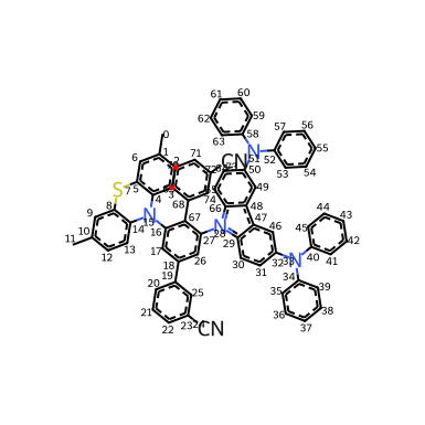 Cc1ccc2c(c1)Sc1cc(C)ccc1N2c1cc(-c2cccc(C#N)c2)cc(-n2c3ccc(N(c4ccccc4)c4ccccc4)cc3c3cc(N(c4ccccc4)c4ccccc4)ccc32)c1-c1cccc(C#N)c1